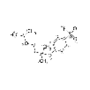 CC(C)OCCC(C)(C)Oc1ccc(S(=O)(=O)F)cc1